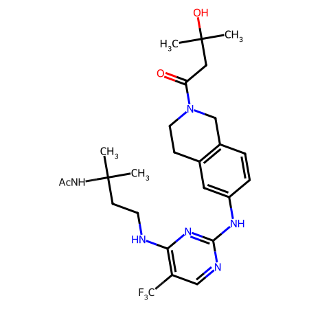 CC(=O)NC(C)(C)CCNc1nc(Nc2ccc3c(c2)CCN(C(=O)CC(C)(C)O)C3)ncc1C(F)(F)F